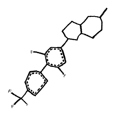 CC1CCC2CC(c3cc(F)c(-c4ccc(C(F)(F)F)cc4)c(F)c3)CCC2C1